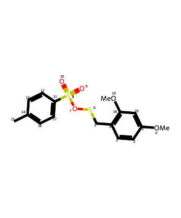 COc1ccc(CSOS(=O)(=O)c2ccc(C)cc2)c(OC)c1